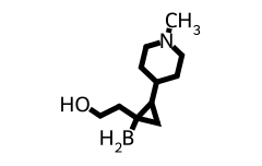 BC1(CCO)CC1C1CCN(C)CC1